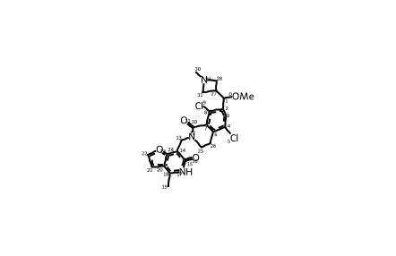 COC(c1cc(Cl)c2c(c1Cl)C(=O)N(Cc1c(=O)[nH]c(C)c3ccoc13)CC2)C1CN(C)C1